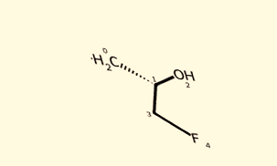 [CH2][C@H](O)CF